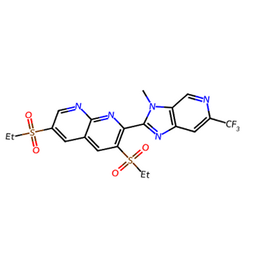 CCS(=O)(=O)c1cnc2nc(-c3nc4cc(C(F)(F)F)ncc4n3C)c(S(=O)(=O)CC)cc2c1